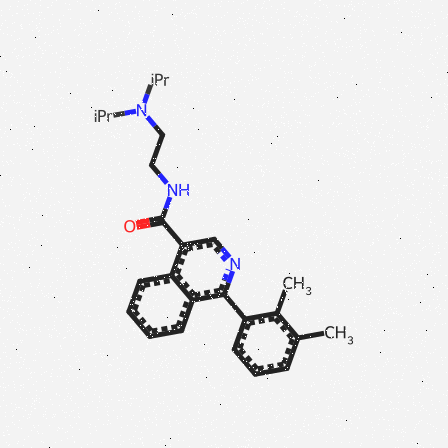 Cc1cccc(-c2ncc(C(=O)NCCN(C(C)C)C(C)C)c3ccccc23)c1C